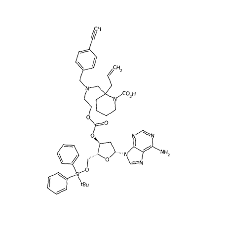 C#Cc1ccc(CN(CCOC(=O)O[C@H]2C[C@H](n3cnc4c(N)ncnc43)O[C@@H]2CO[Si](c2ccccc2)(c2ccccc2)C(C)(C)C)CC2(CC=C)CCCCN2C(=O)O)cc1